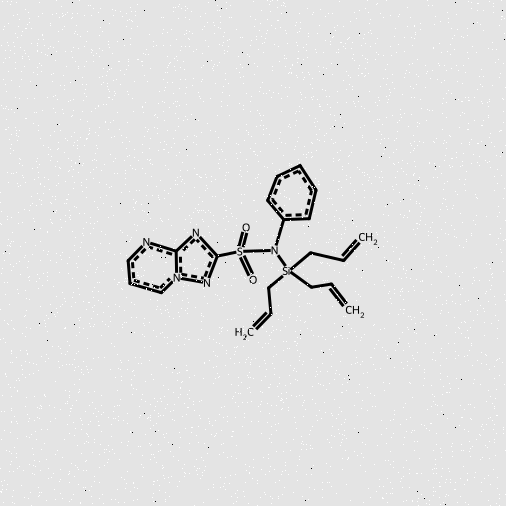 C=CC[Si](CC=C)(CC=C)N(c1ccccc1)S(=O)(=O)c1nc2ncccn2n1